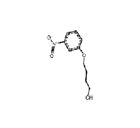 O=[N+]([O-])c1cccc(OCCCCO)c1